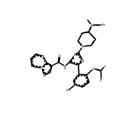 CCCN(C)C1CCN(c2nc(-c3cc(Cl)ccc3OC(F)F)c(NC(=O)c3cnn4cccnc34)s2)CC1